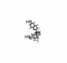 N/C(=N\O)N1CCC[C@H]1c1nc(-c2ccc3cc(O)ccc3c2)no1